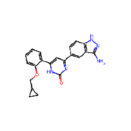 Nc1n[nH]c2ccc(-c3cc(-c4ccccc4OCC4CC4)[nH]c(=O)n3)cc12